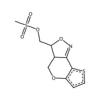 CS(=O)(=O)OCC1ON=C2c3sccc3OCC21